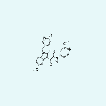 COc1ccc2c(c1)c(C(=O)C(=O)Nc1ccnc(OC)c1)c(C)n2Cc1ccc(Cl)nc1